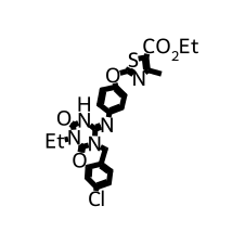 CCOC(=O)c1sc(Oc2ccc(/N=c3\[nH]c(=O)n(CC)c(=O)n3Cc3ccc(Cl)cc3)cc2)nc1C